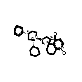 O=C[C@@H]1CN(N2CC[C@@H](c3ccccc3)C[C@H]2C2CCCCC2)C[C@]12CCCc1c2ccc[n+]1[O-]